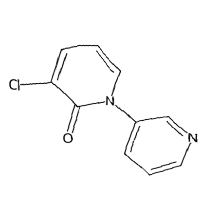 O=c1c(Cl)cccn1-c1cccnc1